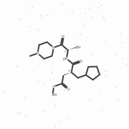 CN1CCN(C(=O)[C@@H](NC(=O)[C@@H](CC(=O)OC(C)(C)C)CC2CCCC2)C(C)(C)C)CC1